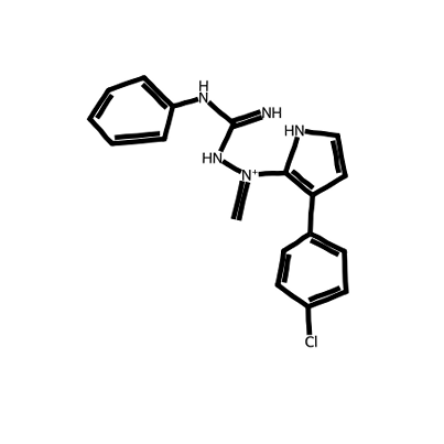 C=[N+](NC(=N)Nc1ccccc1)c1[nH]ccc1-c1ccc(Cl)cc1